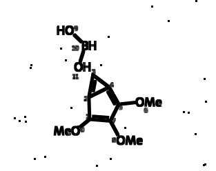 COc1c2cc-2c(OC)c1OC.OBO